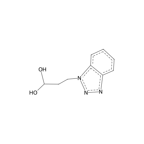 OC(O)CCn1nnc2ccccc21